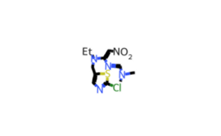 CCN(Cc1cnc(Cl)s1)C(=C[N+](=O)[O-])N=CN(C)C